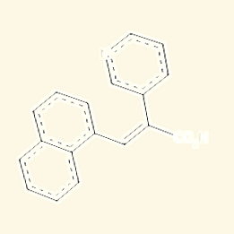 O=C(O)C(=Cc1cccc2ccccc12)c1cccnc1